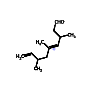 C=CC(C)C/C(C)=C/C(C)C[C]=O